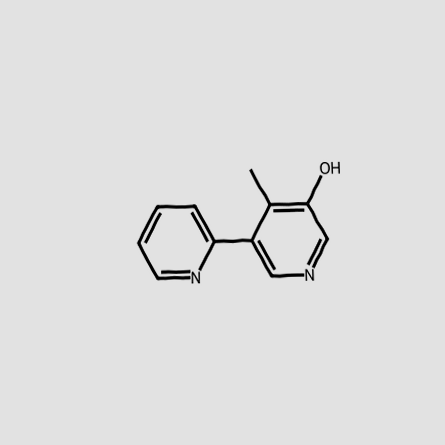 Cc1c(O)cncc1-c1ccccn1